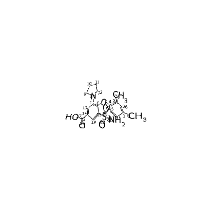 Cc1ccc(Oc2c(N3CCCC3)cc(C(=O)O)cc2S(N)(=O)=O)c(C)c1